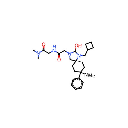 CN[C@]1(c2ccccc2)CC[C@]2(CC1)CN(CC(=O)NCC(=O)N(C)C)C(O)N2CC1CCC1